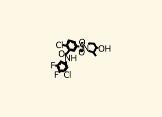 CC1CN(S(=O)(=O)c2ccc(Cl)c(C(=O)Nc3cc(F)c(F)c(Cl)c3)c2)CCC1O